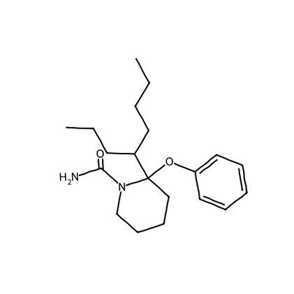 CCCCC(CCC)C1(Oc2ccccc2)CCCCN1C(N)=O